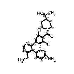 CCc1ncnc(-c2cc(Cl)c(C(=O)N3CCC(C(C)O)CC3)c(Cl)c2)c1-c1ccc(N)nc1